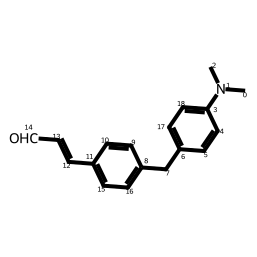 CN(C)c1ccc(Cc2ccc(C=CC=O)cc2)cc1